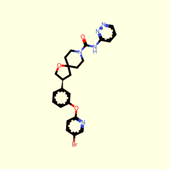 O=C(Nc1cccnn1)N1CCC2(CC1)C[C@@H](c1cccc(Oc3ccc(Br)cn3)c1)CO2